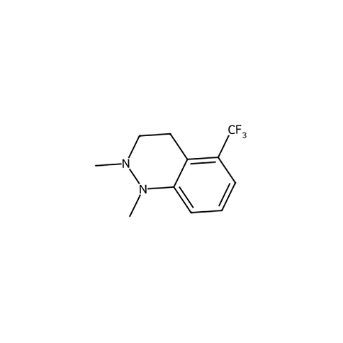 CN1CCc2c(cccc2C(F)(F)F)N1C